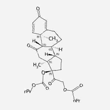 CCCOC(=O)O[C@]1(C(=O)COC(=O)CCC)CC[C@H]2[C@@H]3CCC4=CC(=O)C=C[C@]4(C)[C@H]3C(=O)C[C@@]21C